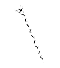 COCCOCCOCCOCCOCCOCCOCCOCCOCC(=O)NC(CO)(CO)CO